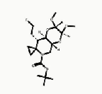 CO[C@@]1(C)O[C@@H]2[C@@H](CCF)C3(CC3)N(C(=O)OC(C)(C)C)C[C@H]2O[C@]1(C)OC